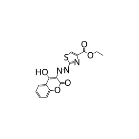 CCOC(=O)c1csc(N=Nc2c(O)c3ccccc3oc2=O)n1